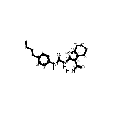 CCCCc1ccc(NC(=O)Nc2sc3c(c2C(N)=O)CCOC3)cc1